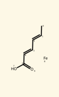 CC=CC=CC(=O)O.[Fe]